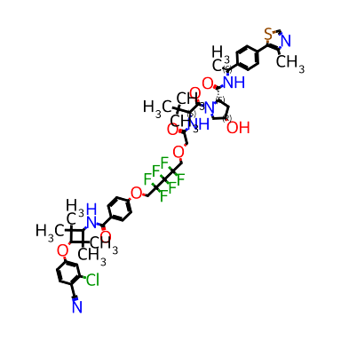 Cc1ncsc1-c1ccc([C@H](C)NC(=O)[C@@H]2C[C@@H](O)CN2C(=O)[C@@H](NC(=O)COCC(F)(F)C(F)(F)C(F)(F)COc2ccc(C(=O)NC3C(C)(C)C(Oc4ccc(C#N)c(Cl)c4)C3(C)C)cc2)C(C)(C)C)cc1